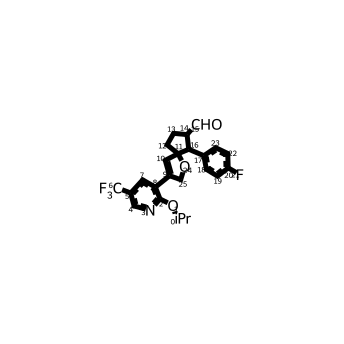 CC(C)Oc1ncc(C(F)(F)F)cc1C1=CC2(CCC(C=O)C2c2ccc(F)cc2)OC1